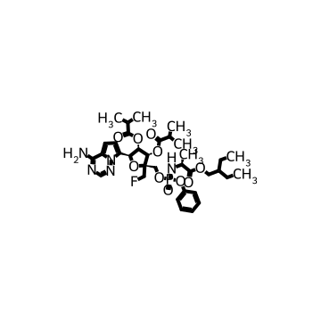 CCC(CC)COC(=O)[C@H](C)NP(=O)(OC[C@@]1(CF)O[C@@H](c2ccc3c(N)ncnn23)[C@H](OC(=O)C(C)C)[C@@H]1OC(=O)C(C)C)Oc1ccccc1